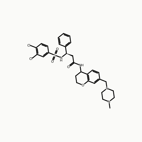 CN1CCN(Cc2ccc3c(c2)OCCC3NC(=O)C[C@@H](NS(=O)(=O)c2ccc(Cl)c(Cl)c2)c2ccccc2)CC1